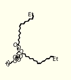 CC\C=C/C=C/C=C/C=C\CCCCCCCC(=O)OC[C@H](COP(=O)([O-])OCC[N+](C)(C)C)OC(=O)CCCCCCC\C=C/C=C/C=C/C=C\CC